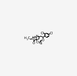 CCOC(=O)C1(C)CC(CC(OC=O)c2ccc(Cl)cc2Cl)=NN1